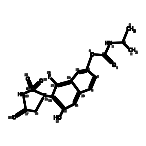 CC(C)NC(=O)Oc1ccc2cc(O)c(N3CC(=O)NS3(=O)=O)c(F)c2c1